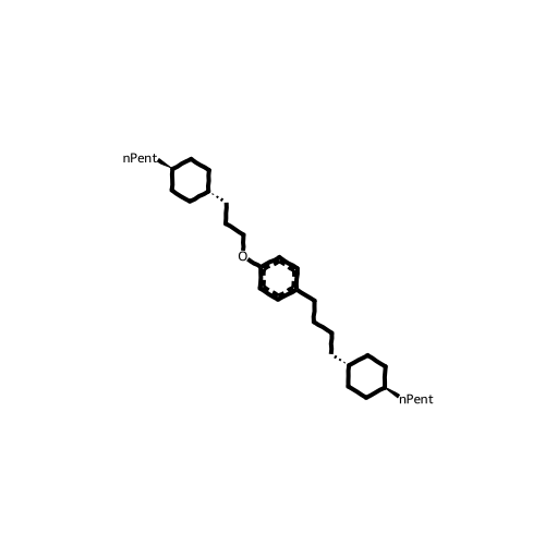 CCCCC[C@H]1CC[C@H](CCCCc2ccc(OCCC[C@H]3CC[C@H](CCCCC)CC3)cc2)CC1